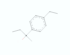 CCc1ccc(C(C)(O)CC)cc1